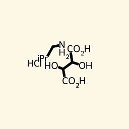 CC(C)CN.Cl.O=C(O)C(O)C(O)C(=O)O